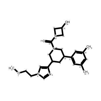 COCCn1cnc(C2CC(c3cc(C)cc(C)c3)CN(C(=O)N3CC(O)C3)C2)c1